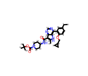 CCc1ccc(OCC2CC2)c(-c2ncnc3c(C(=O)NC4CCN(C(=O)OC(C)(C)C)CC4)c(C)[nH]c23)c1